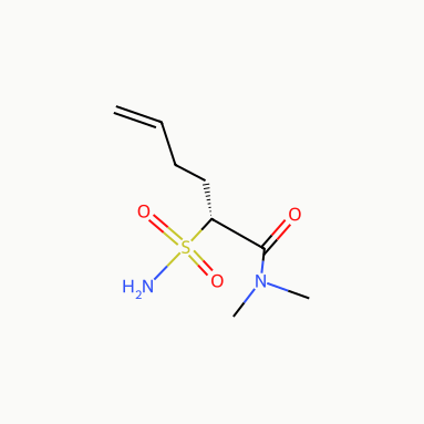 C=CCC[C@H](C(=O)N(C)C)S(N)(=O)=O